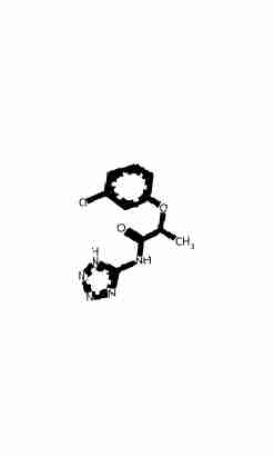 CC(Oc1cccc(Cl)c1)C(=O)Nc1nnn[nH]1